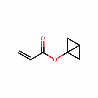 C=CC(=O)OC12CC1C2